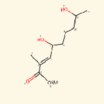 COC(=O)C(C)=CC(O)CCCC(C)O